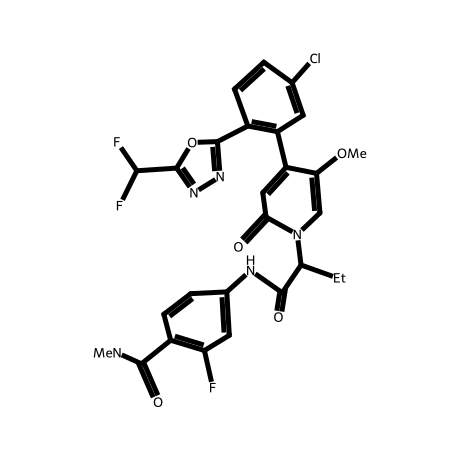 CCC(C(=O)Nc1ccc(C(=O)NC)c(F)c1)n1cc(OC)c(-c2cc(Cl)ccc2-c2nnc(C(F)F)o2)cc1=O